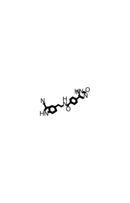 N#Cc1c[nH]c2ccc(CCNC(=O)c3ccc(-c4cnc(=O)[nH]n4)cc3)cc12